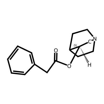 O=C(Cc1ccccc1)O[C@@H]1CN2CCC1CC2